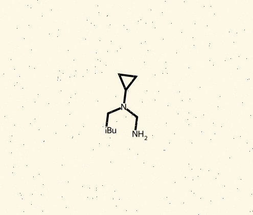 CCC(C)CN(CN)C1CC1